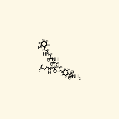 CC(C)CCNCC(=O)N(CCc1ccc(S(N)(=O)=O)cc1)CC(=O)NC(=O)CNCCc1ccccc1F